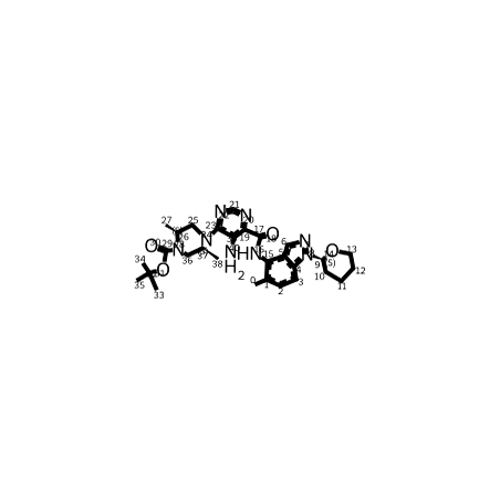 Cc1ccc2c(cnn2[C@@H]2CCCCO2)c1NC(=O)c1ncnc(N2C[C@H](C)N(C(=O)OC(C)(C)C)C[C@@H]2C)c1N